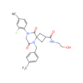 N#Cc1ccc(N2CC(=O)N(Cc3ccc(C(F)(F)F)cc3)C3(CC(C(=O)NCCO)C3)C2=O)c(F)c1